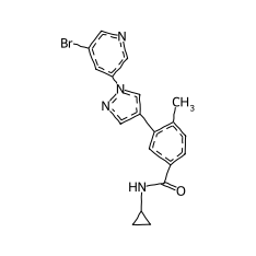 Cc1ccc(C(=O)NC2CC2)cc1-c1cnn(-c2cncc(Br)c2)c1